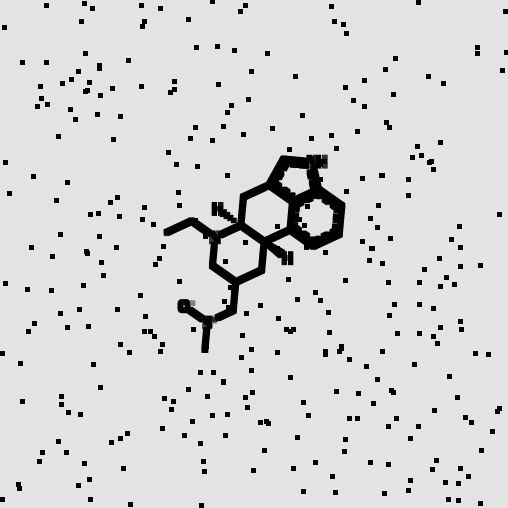 CCN1CC(C[S+](C)[O-])C[C@H]2c3cccc4[nH]cc(c34)C[C@@H]21